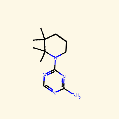 CC1(C)CCCN(c2ncnc(N)n2)C1(C)C